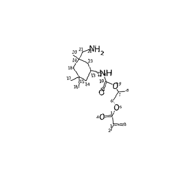 C=C(C)C(=O)OCC(C)OC(=O)NC1CC(C)(C)CC(C)(CN)C1